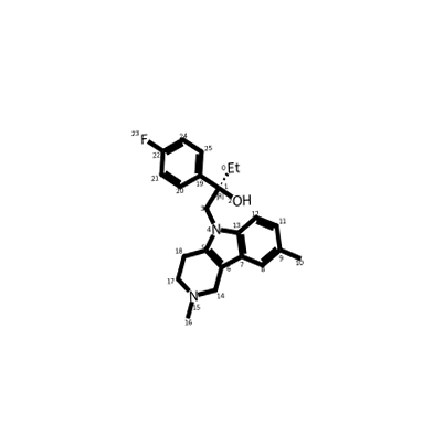 CC[C@](O)(Cn1c2c(c3cc(C)ccc31)CN(C)CC2)c1ccc(F)cc1